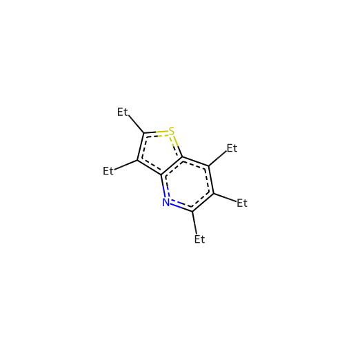 CCc1nc2c(CC)c(CC)sc2c(CC)c1CC